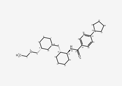 CCOC[C@@H]1CCCN(C[C@H]2CCCC[C@@H]2NC(=O)c2ccc(N3CCCC3)nc2)C1